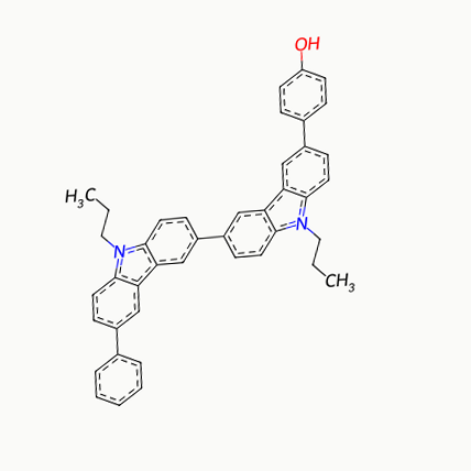 CCCn1c2ccc(-c3ccccc3)cc2c2cc(-c3ccc4c(c3)c3cc(-c5ccc(O)cc5)ccc3n4CCC)ccc21